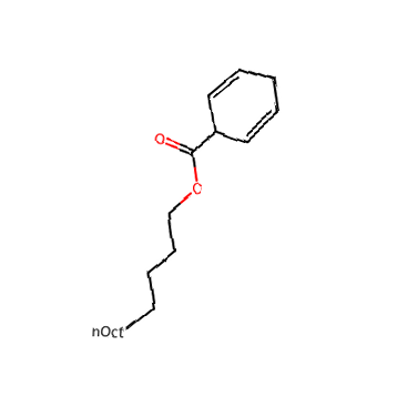 CCCCCCCCCCCCOC(=O)C1C=CCC=C1